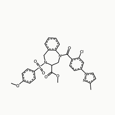 COC(=O)C1CN(C(=O)c2ccc(-n3ccc(C)n3)cc2Cl)c2ccccc2CN1S(=O)(=O)c1ccc(OC)cc1